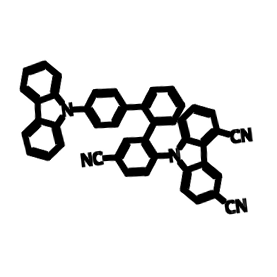 N#Cc1ccc(-n2c3ccc(C#N)cc3c3c(C#N)cccc32)c(-c2ccccc2-c2ccc(-n3c4ccccc4c4ccccc43)cc2)c1